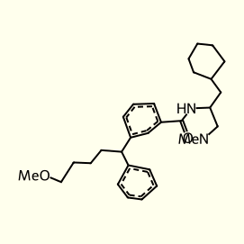 CNCC(CC1CCCCC1)NC(=O)c1cccc(C(CCCCOC)c2ccccc2)c1